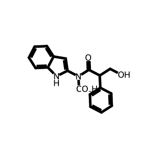 O=C(O)N(C(=O)C(CO)c1ccccc1)c1cc2ccccc2[nH]1